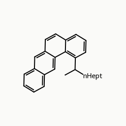 CCCCCCCC(C)c1cccc2ccc3cc4ccccc4cc3c12